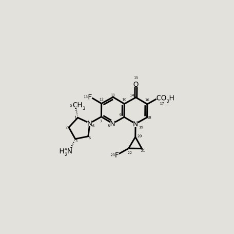 C[C@H]1C[C@@H](N)CN1c1nc2c(cc1F)c(=O)c(C(=O)O)cn2C1CC1F